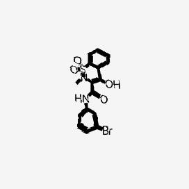 CN1C(C(=O)Nc2cccc(Br)c2)=C(O)c2ccccc2S1(=O)=O